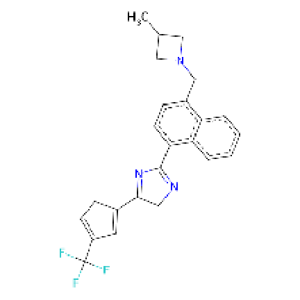 CC1CN(Cc2ccc(C3=NCC(C4=CC(C(F)(F)F)=CC4)=N3)c3ccccc23)C1